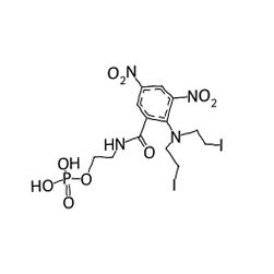 O=C(NCCOP(=O)(O)O)c1cc([N+](=O)[O-])cc([N+](=O)[O-])c1N(CCI)CCI